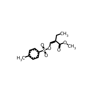 CCC(=COS(=O)(=O)c1ccc(C)cc1)C(=O)OC